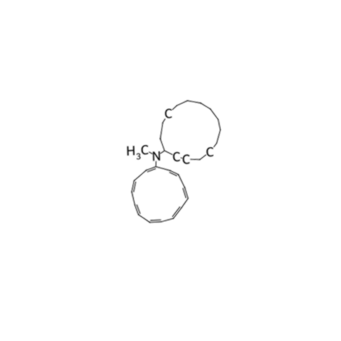 CN(c1ccccccccccccc1)C1CCCCCCCCCCCCCC1